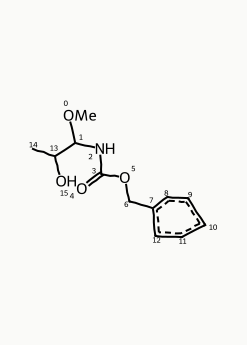 COC(NC(=O)OCc1ccccc1)C(C)O